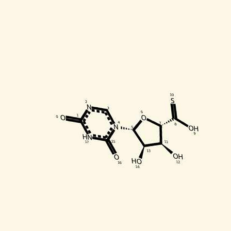 O=c1ncn([C@@H]2O[C@H](C(O)=S)[C@@H](O)[C@H]2O)c(=O)[nH]1